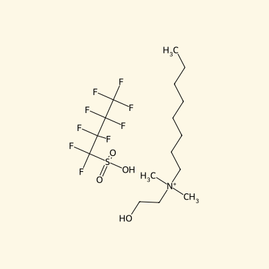 CCCCCCCC[N+](C)(C)CCO.O=S(=O)(O)C(F)(F)C(F)(F)C(F)(F)C(F)(F)F